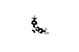 CC(C)[C@H]1c2ncc(C(=O)O)cc2CN1Cc1ccc(C(F)(F)F)cc1